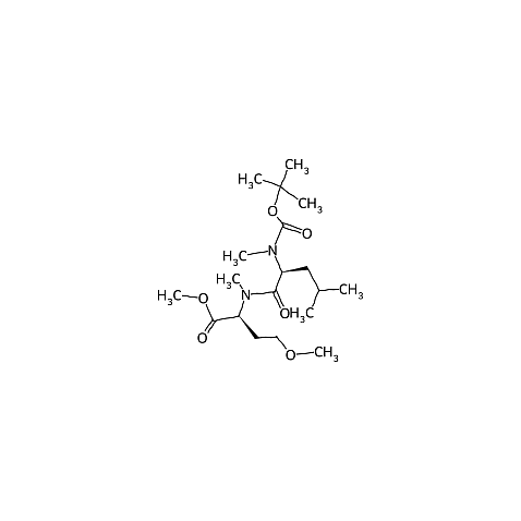 COCC[C@@H](C(=O)OC)N(C)C(=O)[C@H](CC(C)C)N(C)C(=O)OC(C)(C)C